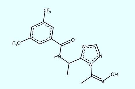 C/C(=N/O)n1ncnc1C(C)NC(=O)c1cc(C(F)(F)F)cc(C(F)(F)F)c1